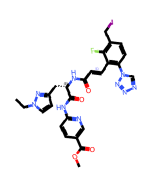 CCn1ccc(C[C@H](NC(=O)/C=C/c2c(-n3cnnn3)ccc(CI)c2F)C(=O)Nc2ccc(C(=O)OC)cn2)n1